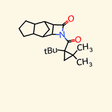 CC(C)(C)C1(C(=O)N2C(=O)C3C4CC(C5CCCC54)C32)CC1(C)C